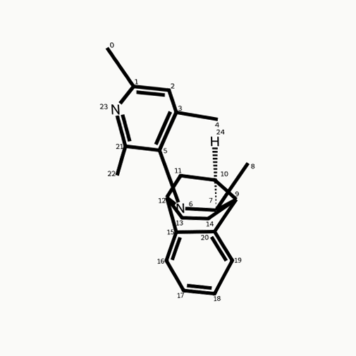 Cc1cc(C)c(N2[C@@H](C)C34CCC2(CC3)c2ccccc24)c(C)n1